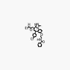 CCNC(=O)C[C@@H]1C=C(c2ccc(Cl)cc2)c2cc(OCCNC(=O)c3ccccc3)ccc2-n2c(C)nnc21